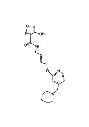 O=C(NCC=CCOc1cc(CN2CCCCC2)ccn1)c1nocc1O